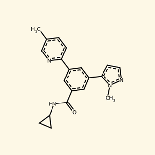 Cc1ccc(-c2cc(C(=O)NC3CC3)cc(-c3ccnn3C)c2)nc1